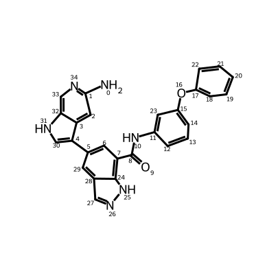 Nc1cc2c(-c3cc(C(=O)Nc4cccc(Oc5ccccc5)c4)c4[nH]ncc4c3)c[nH]c2cn1